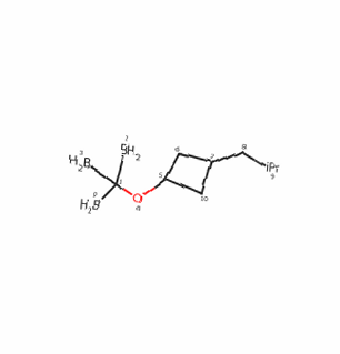 BC(B)(B)OC1CC(CC(C)C)C1